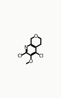 COc1c(Cl)nc2c(c1Cl)CCOC2